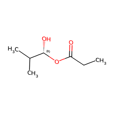 CCC(=O)O[C@@H](O)C(C)C